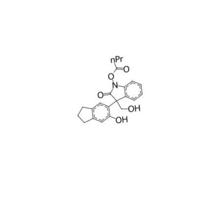 CCCC(=O)ON1C(=O)C(CO)(c2cc3c(cc2O)CCC3)c2ccccc21